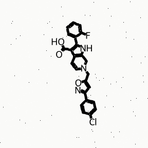 O=C(O)c1c(-c2ccccc2F)[nH]c2c1C=CN(Cc1cc(-c3ccc(Cl)cc3)no1)C2